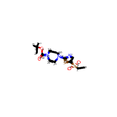 CCS(=O)(=O)c1cnc(N2CCN(C(=O)OC(C)(C)C)CC2)s1